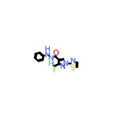 O=C(NNc1ccccc1)c1cn(-c2nccs2)nc1C(F)F